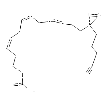 C#CCCCC1(CC/C=C/C/C=C\C/C=C\CCCC(=O)O)N=N1